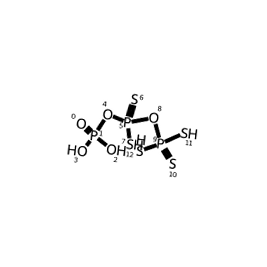 O=P(O)(O)OP(=S)(S)OP(=S)(S)S